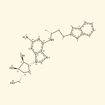 C[C@H](CSc1nc2ccccc2s1)Nc1nc(N)nc2c1ncn2[C@@H]1O[C@H](CO)[C@@H](O)[C@H]1O